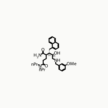 CCCN(CCC)C(=O)CCC(C(N)=O)[C@H](Cc1cccc2ccccc12)[C@@H](O)CNCc1cccc(OC)c1